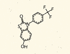 O=c1sc2cc(O)ccc2n1-c1ccc(C(F)(F)F)cc1